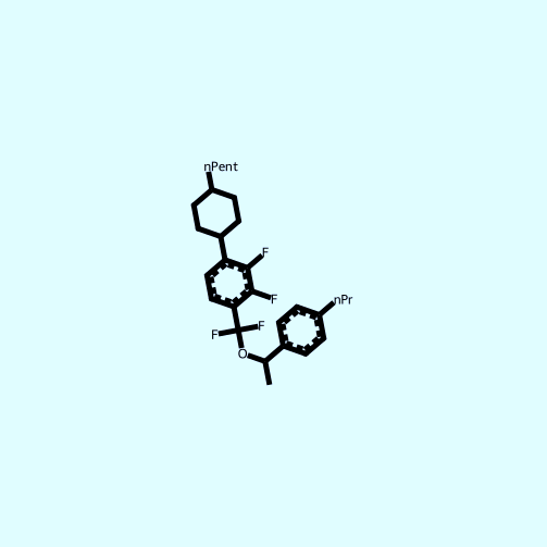 CCCCCC1CCC(c2ccc(C(F)(F)OC(C)c3ccc(CCC)cc3)c(F)c2F)CC1